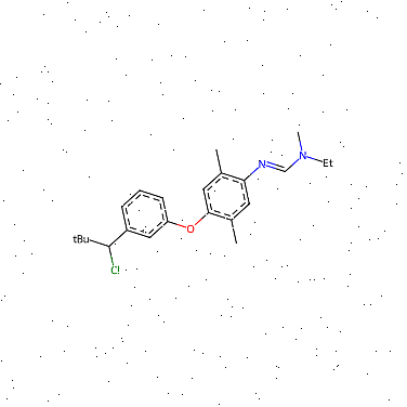 CCN(C)C=Nc1cc(C)c(Oc2cccc(C(Cl)C(C)(C)C)c2)cc1C